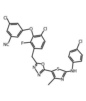 Cc1nc(Nc2ccc(Cl)cc2)sc1-c1nnc(Cc2ccc(Cl)c(Oc3cc(Cl)cc(C#N)c3)c2F)o1